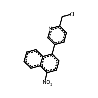 O=[N+]([O-])c1ccc(-c2ccc(CCl)nc2)c2ccccc12